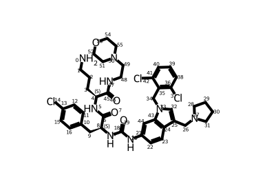 NCCC[C@H](NC(=O)[C@H](Cc1ccc(Cl)cc1)NC(=O)Nc1ccc2c(CN3CCCC3)cn(Cc3c(Cl)cccc3Cl)c2c1)C(=O)NCCN1CCOCC1